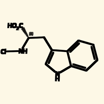 O=C(O)[C@H](Cc1c[nH]c2ccccc12)NCl